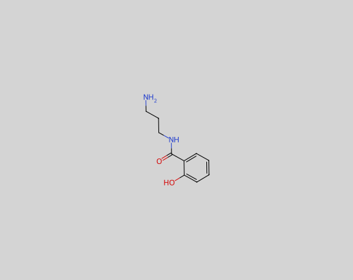 NCCCNC(=O)c1ccccc1O